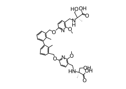 COc1nc(OCc2cccc(-c3cccc(COc4ccc(CN[C@@](C)(CO)C(=O)O)c(OC)n4)c3C)c2C)ccc1CN[C@@](C)(CO)C(=O)O